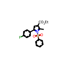 CCOC(=O)c1cc(-c2ccc(F)cc2)n(S(=O)(=O)c2ccccc2)c1C